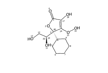 O=C1O[C@](C2CCCCC2)([C@@H](O)CO)C(OO)=C1O